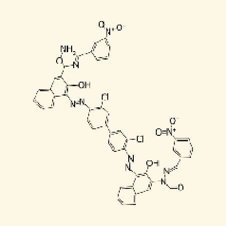 NOC(N=Cc1cccc([N+](=O)[O-])c1)c1cc2ccccc2c(N=Nc2ccc(-c3ccc(N=Nc4c(O)c(N(C=O)N=Cc5cccc([N+](=O)[O-])c5)cc5ccccc45)c(Cl)c3)cc2Cl)c1O